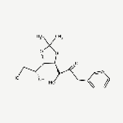 CC1(C)O[C@@H]([C@H](O)CO)[C@H](C(O)C(=O)Cc2ccccc2)O1